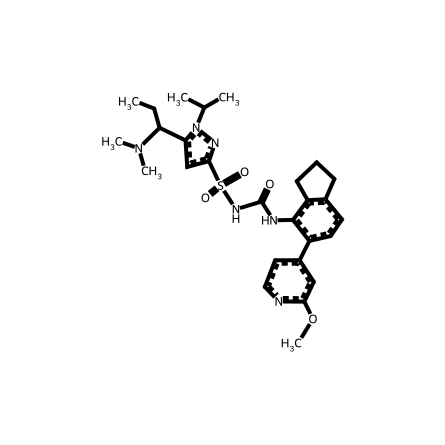 CCC(c1cc(S(=O)(=O)NC(=O)Nc2c(-c3ccnc(OC)c3)ccc3c2CCC3)nn1C(C)C)N(C)C